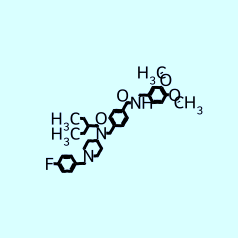 CCC(CC)C(=O)N(Cc1ccc(C(=O)NCc2ccc(OC)c(OC)c2)cc1)C1CCN(Cc2ccc(F)cc2)CC1